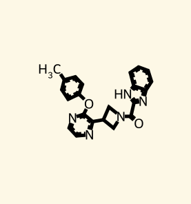 Cc1ccc(Oc2nccnc2C2CN(C(=O)c3nc4ccccc4[nH]3)C2)cc1